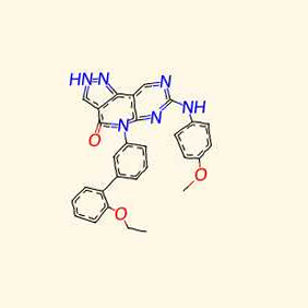 CCOc1ccccc1-c1cccc(-n2c(=O)c3c[nH]nc3c3cnc(Nc4ccc(OC)cc4)nc32)c1